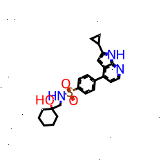 O=S(=O)(NCC1(O)CCCCC1)c1ccc(-c2ccnc3[nH]c(C4CC4)cc23)cc1